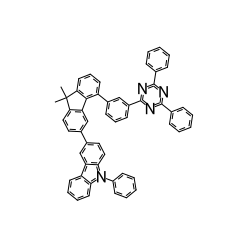 CC1(C)c2ccc(-c3ccc4c(c3)c3ccccc3n4-c3ccccc3)cc2-c2c(-c3cccc(-c4nc(-c5ccccc5)nc(-c5ccccc5)n4)c3)cccc21